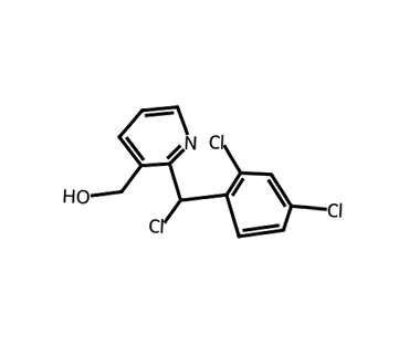 OCc1cccnc1C(Cl)c1ccc(Cl)cc1Cl